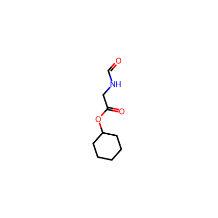 O=CNCC(=O)OC1CCCCC1